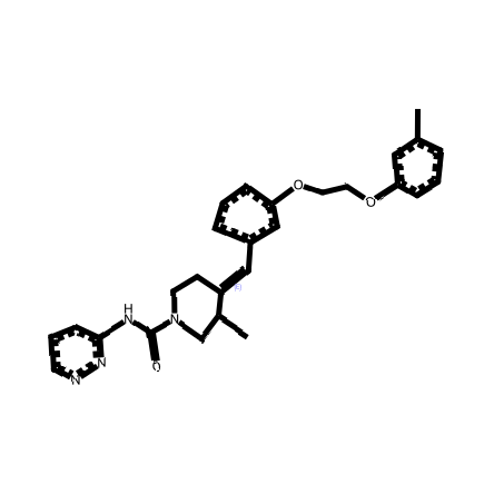 Cc1cccc(OCCOc2cccc(/C=C3\CCN(C(=O)Nc4cccnn4)CC3C)c2)c1